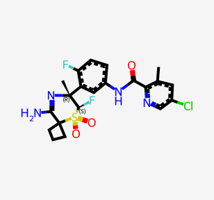 Cc1cc(Cl)cnc1C(=O)Nc1ccc(F)c([C@@]2(C)N=C(N)C3(CCC3)S(=O)(=O)[C@@H]2F)c1